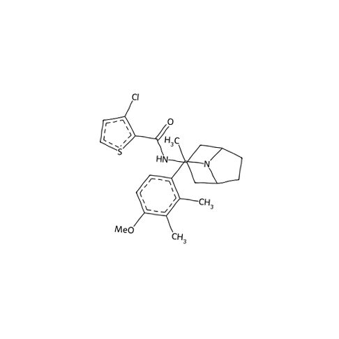 COc1ccc(C(C)N2C3CCC2CC(NC(=O)c2sccc2Cl)C3)c(C)c1C